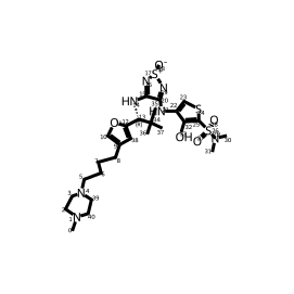 CN1CCN(CCCCc2coc([C@H](Nc3n[s+]([O-])nc3Nc3csc(S(=O)(=O)N(C)C)c3O)C(C)(C)C)c2)CC1